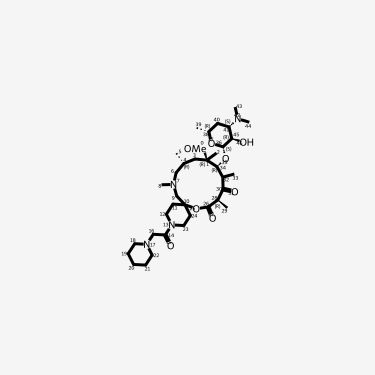 CO[C@]1(C)C[C@@H](C)CN(C)CC2(CCN(C(=O)CN3CCCCC3)CC2)OC(=O)[C@H](C)C(=O)C(C)[C@H]1O[C@@H]1O[C@H](C)C[C@H](N(C)C)[C@H]1O